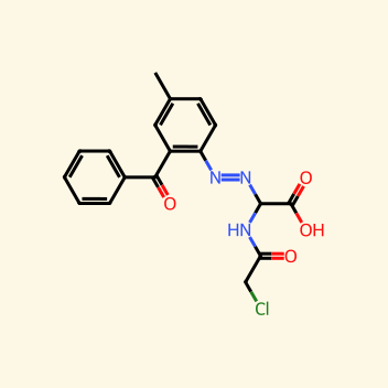 Cc1ccc(N=NC(NC(=O)CCl)C(=O)O)c(C(=O)c2ccccc2)c1